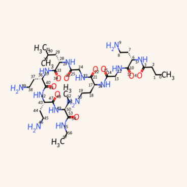 CCCC(=O)N[C@@H](CCN)C(=O)NCC(=O)N[C@@H](CCN)C(=O)NCC(=O)N[C@@H](CC(C)C)C(=O)N[C@@H](CCN)C(=O)N[C@@H](CCN)C(=O)N[C@@H](CC)C(=O)NCC